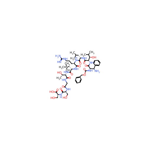 CC(C)C[C@H](NC(=O)[C@@H](NC(=O)[C@@H](NC(=O)OCc1ccccc1)[C@H](N)c1ccccc1)[C@H](O)C(C)C)C(=O)N[C@H](CCCNC(=N)N)C(=O)N[C@@H](C[Si](C)(C)C)C(=O)N[C@H](C(=O)NCC(=O)N[C@@H](CO)C(=O)N[C@@H](CO)C(=O)O)[C@H](C)O